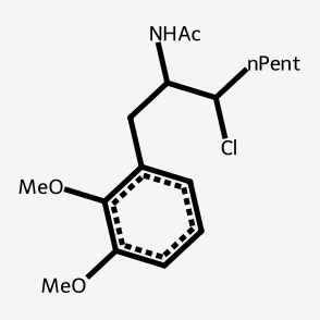 CCCCCC(Cl)C(Cc1cccc(OC)c1OC)NC(C)=O